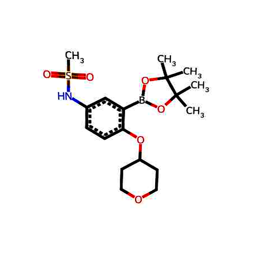 CC1(C)OB(c2cc(NS(C)(=O)=O)ccc2OC2CCOCC2)OC1(C)C